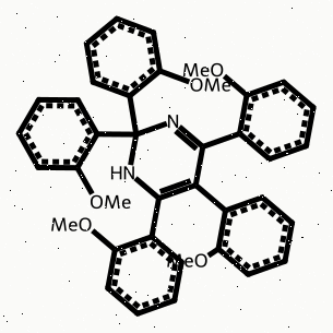 COc1ccccc1C1=NC(c2ccccc2OC)(c2ccccc2OC)NC(c2ccccc2OC)=C1c1ccccc1OC